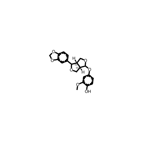 COc1cc(OC2OC[C@H]3C(c4ccc5c(c4)OCO5)OC[C@@H]23)ccc1O